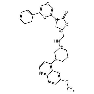 COc1ccc2nccc(N3CCC[C@@H](NC[C@@H]4CN(C5=COC=C(C6=CC=CCC6)O5)C(=O)O4)C3)c2n1